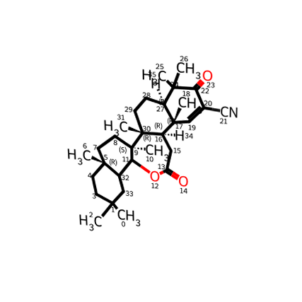 CC1(C)CC[C@]2(C)CC[C@]3(C)C(OC(=O)C[C@@H]4[C@@]5(C)C=C(C#N)C(=O)C(C)(C)[C@@H]5CC[C@]43C)C2C1